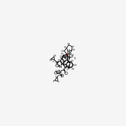 O=C(NS(=O)(=O)C1CC1)c1ccc2nc(N3C4CCC3CC(NCc3c(-c5ccccc5OC(F)(F)F)noc3C3CC3)C4)ccc2c1